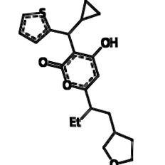 CCC(CC1CCOC1)c1cc(O)c(C(c2cccs2)C2CC2)c(=O)o1